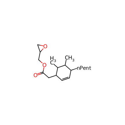 CCCCCC1C=CC(CC(=O)OCC2CO2)C(C)C1C